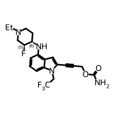 CCN1CC[C@@H](Nc2cccc3c2cc(C#CCOC(N)=O)n3CC(F)(F)F)[C@@H](F)C1